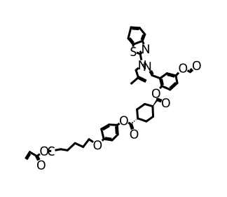 C=CC(=O)OCCCCCCOc1ccc(OC(=O)[C@H]2CC[C@H](C(=O)Oc3ccc(OC=O)cc3/C=N/N(CC(=C)C)c3nc4ccccc4s3)CC2)cc1